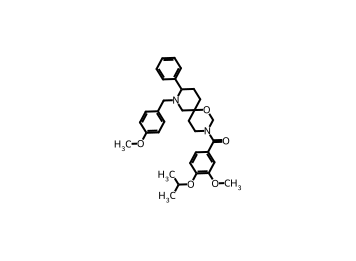 COc1ccc(CN2CC3(CCC2c2ccccc2)CCN(C(=O)c2ccc(OC(C)C)c(OC)c2)CO3)cc1